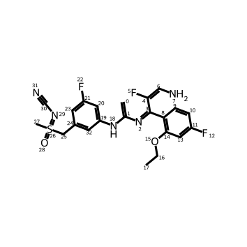 C=C(/N=C(\C(F)=C/N)c1ccc(F)cc1OCC)Nc1cc(F)cc(CS(C)(=O)=NC#N)c1